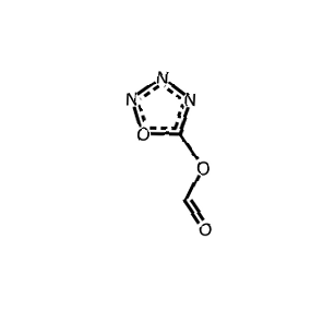 O=COc1nnno1